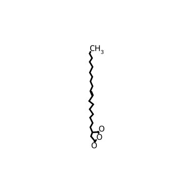 CCCCCCCCCC=CCCCCCCCC1CC(=O)OC1=O